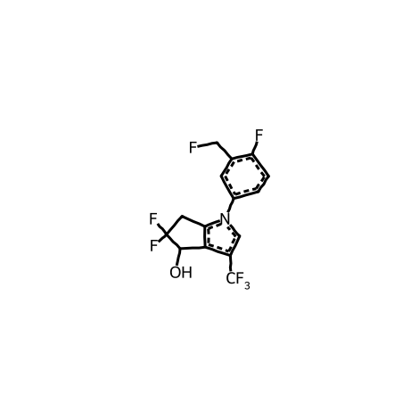 OC1c2c(C(F)(F)F)cn(-c3ccc(F)c(CF)c3)c2CC1(F)F